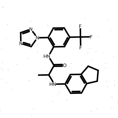 CC(Nc1ccc2c(c1)CCC2)C(=O)Nc1cc(C(F)(F)F)ccc1-n1cncn1